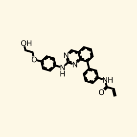 C=CC(=O)Nc1cccc(-c2cccc3cnc(Nc4ccc(OCCO)cc4)nc23)c1